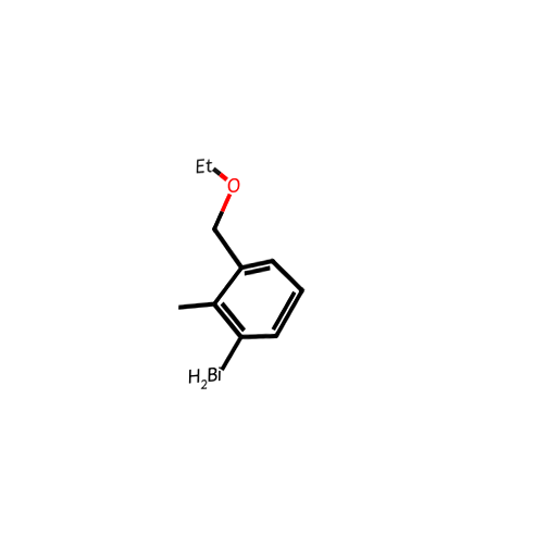 CCOCc1ccc[c]([BiH2])c1C